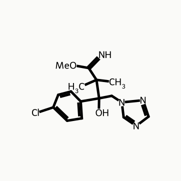 COC(=N)C(C)(C)C(O)(Cn1cncn1)c1ccc(Cl)cc1